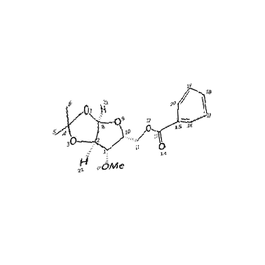 CO[C@@H]1[C@H]2OC(C)(C)O[C@H]2O[C@@H]1COC(=O)c1ccccc1